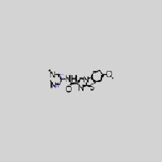 C=N/C=C(\C=N/C)NC(=O)c1cn2c(n1)sc1cc(OC)ccc12